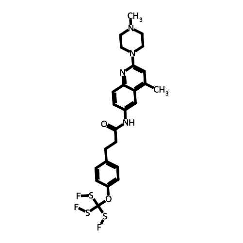 Cc1cc(N2CCN(C)CC2)nc2ccc(NC(=O)CCc3ccc(OC(SF)(SF)SF)cc3)cc12